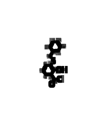 O=C(Cl)c1cccc(SCc2ccccc2)c1O